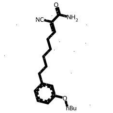 CCCCOc1cccc(CCCCC/C=C(\C#N)C(N)=O)c1